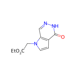 CCOC(=O)Cn1ccc2c(=O)[nH]ncc21